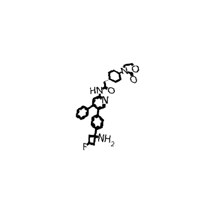 NC1(c2ccc(-c3cnc(NC(=O)C[C@H]4CC[C@H](N5CCOC5=O)CC4)cc3-c3ccccc3)cc2)CC(F)C1